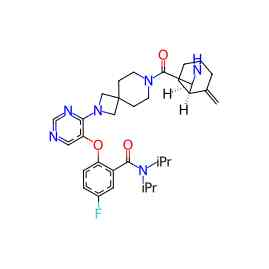 C=C1CC2CC[C@H]1[C@@H](C(=O)N1CCC3(CC1)CN(c1ncncc1Oc1ccc(F)cc1C(=O)N(C(C)C)C(C)C)C3)N2